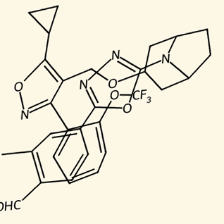 Cc1cc(-c2nnc(N3C4CCC3CC(OCc3c(-c5ccccc5OC(F)(F)F)noc3C3CC3)C4)o2)ccc1C=O